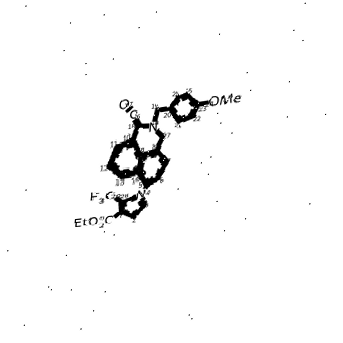 CCOC(=O)c1ccn(-c2ccc3c4c(cccc24)C(=C=O)N(Cc2ccc(OC)cc2)C3)c1C(F)(F)F